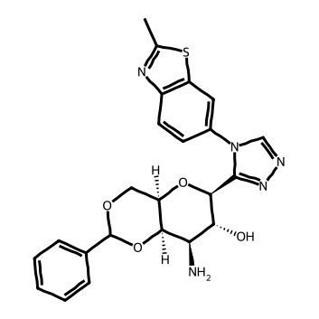 Cc1nc2ccc(-n3cnnc3[C@@H]3O[C@@H]4COC(c5ccccc5)O[C@@H]4[C@H](N)[C@H]3O)cc2s1